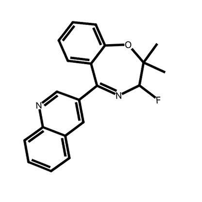 CC1(C)Oc2ccccc2C(c2cnc3ccccc3c2)=NC1F